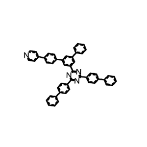 c1ccc(-c2ccc(-c3nc(-c4ccc(-c5ccccc5)cc4)nc(-c4cc(-c5ccccc5)cc(-c5ccc(-c6ccncc6)cc5)c4)n3)cc2)cc1